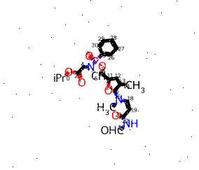 CC(C)OC(=O)CN(C)[P@](=O)(OCC1CC(C)C(N(C)/C=C\C(=O)NC=O)O1)c1ccccc1